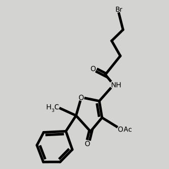 CC(=O)OC1=C(NC(=O)CCCBr)OC(C)(c2ccccc2)C1=O